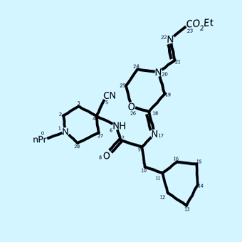 CCCN1CCC(C#N)(NC(=O)C(CC2CCCCC2)N=C2CN(C=NC(=O)OCC)CCO2)CC1